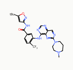 CN1CCCN(c2ncc3ncnc(Nc4cc(C(=O)Nc5cc(C(C)(C)C)on5)ccc4C(F)(F)F)c3n2)CC1